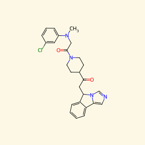 CN(CC(=O)N1CCC(C(=O)CC2c3ccccc3-c3cncn32)CC1)c1cccc(Cl)c1